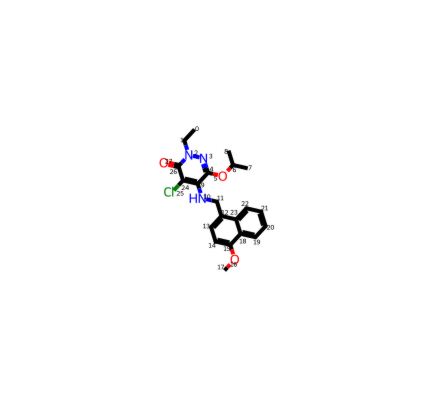 CCn1nc(OC(C)C)c(NCc2ccc(OC)c3ccccc23)c(Cl)c1=O